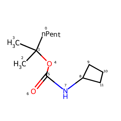 CCCCCC(C)(C)OC(=O)NC1CCC1